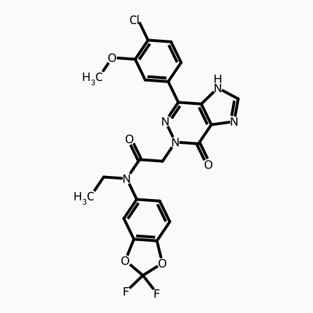 CCN(C(=O)Cn1nc(-c2ccc(Cl)c(OC)c2)c2[nH]cnc2c1=O)c1ccc2c(c1)OC(F)(F)O2